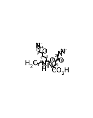 C=CCNC(CCC(=O)C=[N+]=[N-])C(=O)NC(CCC(=O)C=[N+]=[N-])C(=O)O